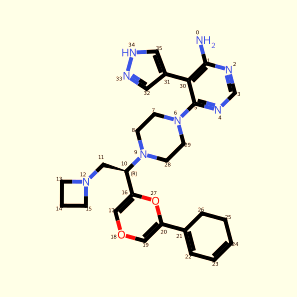 Nc1ncnc(N2CCN([C@H](CN3CCC3)C3=COC=C(C4=CC=CCC4)O3)CC2)c1-c1cn[nH]c1